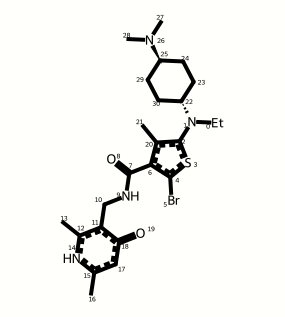 CCN(c1sc(Br)c(C(=O)NCc2c(C)[nH]c(C)cc2=O)c1C)[C@H]1CC[C@H](N(C)C)CC1